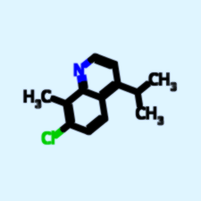 Cc1c(Cl)ccc2c(C(C)C)ccnc12